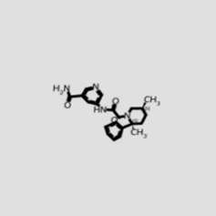 C[C@H]1CC[C@@](C)(c2ccccc2)N(C(=O)C(=O)Nc2cncc(C(N)=O)c2)C1